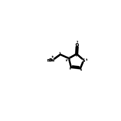 CCCCCn1ccsc1=O